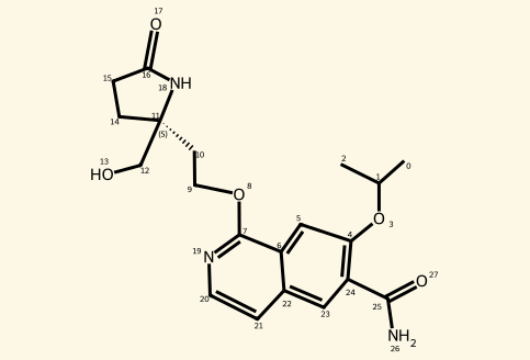 CC(C)Oc1cc2c(OCC[C@]3(CO)CCC(=O)N3)nccc2cc1C(N)=O